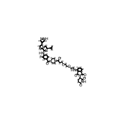 O=C1CCC(N2C(=O)c3cccc(NCCOCCOCCC(=O)N4CCN(C(=O)c5ccc(Nc6nc(C7CC7)cn7c(-c8cn[nH]c8)cnc67)c(F)c5)CC4)c3C2=O)C(=O)N1